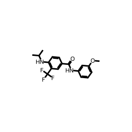 COc1cccc(NC(=O)c2ccc(NC(C)C)c(C(F)(F)F)c2)c1